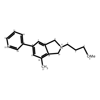 COCCCN1Cc2cc(-c3cccnc3)cc(C)c2C1